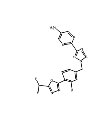 Nc1cnc(-c2nnn(Cc3ccc(-c4nnc(C(F)F)o4)c(F)c3)n2)nc1